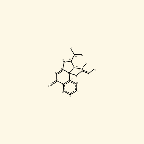 CC=CCC12C(=CC(=O)c3ccccc31)OC(C(C)C)N2OC